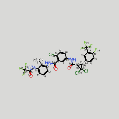 Cc1c(NC(=O)c2cc(NC(=O)[C@H]3[C@H](c4ccc(F)c(C(F)(F)F)c4)C3(Cl)Cl)ccc2Cl)cccc1NC(=O)C(F)(F)F